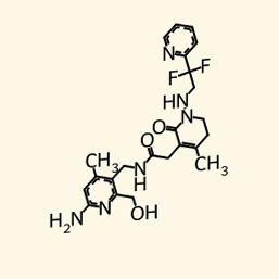 CC1=C(CC(=O)NCc2c(C)cc(N)nc2CO)C(=O)N(NCC(F)(F)c2ccccn2)CC1